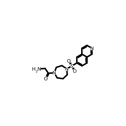 NCC(=O)N1CCCN(S(=O)(=O)c2ccc3cnccc3c2)CC1